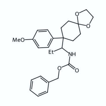 CCC(NC(=O)OCc1ccccc1)C1(c2ccc(OC)cc2)CCC2(CC1)OCCO2